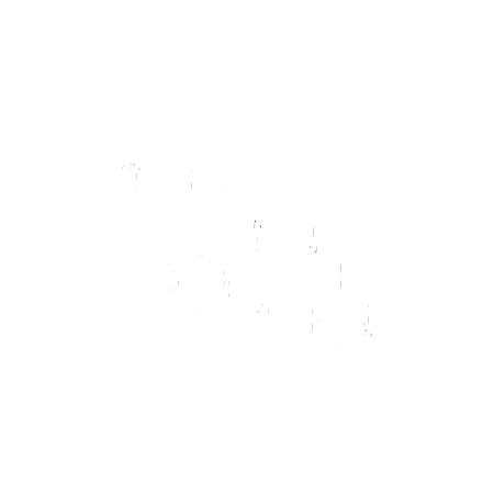 CC(C)c1ccccc1C1CN(Cc2cccnc2)CCN1C1CC2(CCNCC2)C1